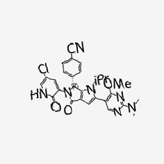 COc1nc(N(C)C)ncc1-c1cc2c(n1C(C)C)[C@@H](c1ccc(C#N)cc1)N(c1cc(Cl)c[nH]c1=O)C2=O